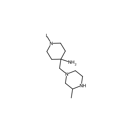 CC1CN(CC2(N)CCN(I)CC2)CCN1